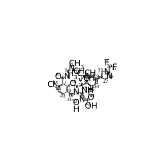 CN(C)C=NC(=O)c1cc([C@@H](CO)N2C(=O)C(CC(C)(C)C)(c3ccc(-c4cnn(C(F)F)c4)cc3F)NC2=NC(=O)O)ccc1Cl